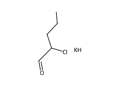 CCCC(Cl)C=O.[KH]